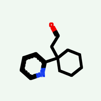 O=CCC1(c2ccccn2)CCCCC1